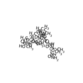 CO[C@H]([C@@H](C)C(=O)N[C@H](C)C(O)c1ccccc1)[C@@H]1CCCN1C(=O)C[C@@H](OC)[C@H](C(C)C)N(C)C(=O)[C@@H](NC(=O)[C@H](C(C)C)N(C)C(=O)OCc1ccc(NC(=O)[C@H](CCCNC(N)=O)NC(=O)CC(C)C)cc1)C(C)C